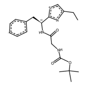 CCc1csc([C@H](Cc2cc[c]cc2)NC(=O)CNC(=O)OC(C)(C)C)n1